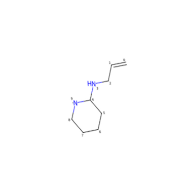 C=CCNC1CCCC[N]1